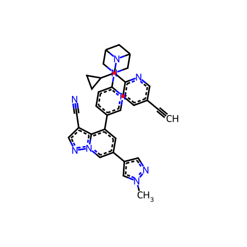 C#Cc1ccc(C(C2CC2)N2C3CC2CN(c2ccc(-c4cc(-c5cnn(C)c5)cn5ncc(C#N)c45)cn2)C3)nc1